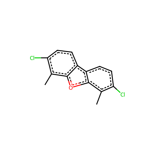 Cc1c(Cl)ccc2c1oc1c(C)c(Cl)ccc12